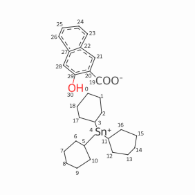 C1CC[CH]([Sn+]([CH]2CCCCC2)[CH]2CCCCC2)CC1.O=C([O-])c1cc2ccccc2cc1O